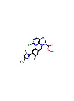 CN(C(=O)OC(C)(C)C)N(Cc1ccc(-c2nc(C(F)(F)F)cn2C)c(F)c1)c1nc(Cl)ncc1N